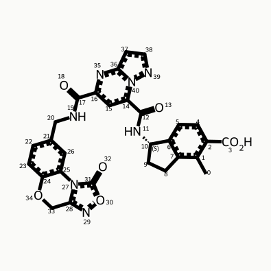 Cc1c(C(=O)O)ccc2c1CC[C@@H]2NC(=O)c1cc(C(=O)NCc2ccc3c(c2)-n2c(noc2=O)CO3)nc2ccnn12